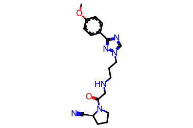 COc1ccc(-c2ncn(CCCNCC(=O)N3CCC[C@H]3C#N)n2)cc1